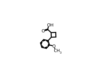 COc1ccccc1C1CCC1C(=O)O